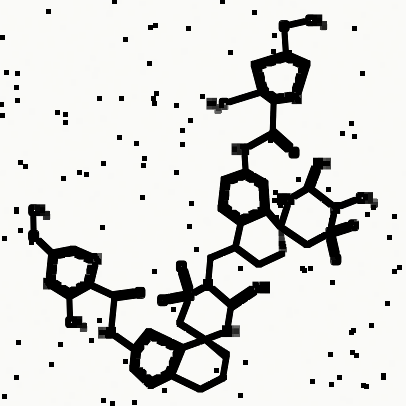 COc1cnc(C(=O)Nc2ccc3c(c2)[C@]2(CCC3CN3C(=N)N[C@@]4(CCCc5ccc(NC(=O)c6ncc(OC)nc6C)cc54)CS3(=O)=O)CS(=O)(=O)N(C)C(=N)N2)c(C)c1